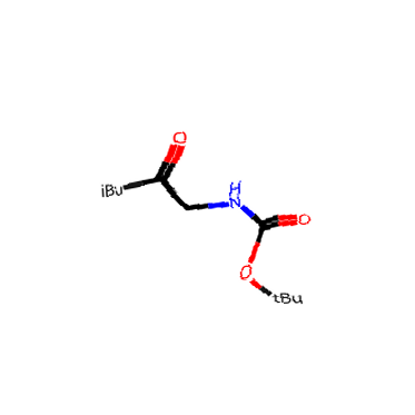 CCC(C)C(=O)CNC(=O)OC(C)(C)C